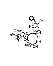 CCCNC[C@]1(O)[C@H](C)O[C@@H](O[C@H]2[C@H](C)[C@@H](O[C@@H]3O[C@H](C)C[C@H](N(CC(C)C)C(=O)N(C)c4ccccc4)[C@H]3O)[C@](C)(O)C[C@@H](C)CN[C@H](C)[C@@H](O)[C@](C)(O)[C@@H](CC)OC(=O)[C@@H]2C)C[C@@]1(C)OC